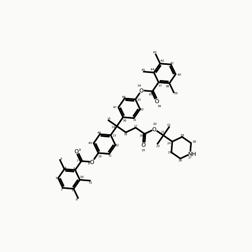 Cc1ccc(C)c(C(=O)Oc2ccc(C(C)(CCC(=O)OC(C)(C)C3CCNCC3)c3ccc(OC(=O)c4c(C)ccc(C)c4C)cc3)cc2)c1C